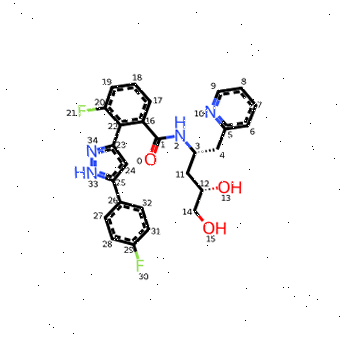 O=C(N[C@H](Cc1ccccn1)C[C@H](O)CO)c1cccc(F)c1-c1cc(-c2ccc(F)cc2)[nH]n1